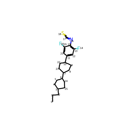 CCCC1CCC(C2CCC(c3cc(F)c(N=C=S)c(F)c3)CC2)CC1